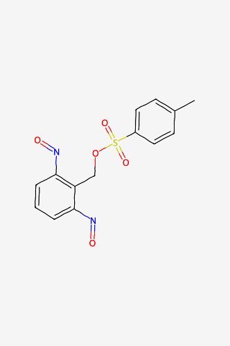 Cc1ccc(S(=O)(=O)OCc2c(N=O)cccc2N=O)cc1